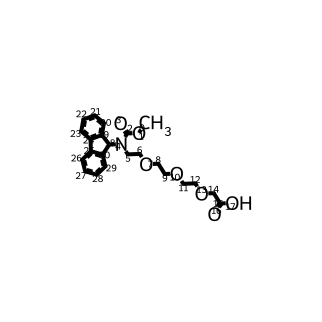 COC(=O)N(CCOCCOCCOCC(=O)O)C1c2ccccc2-c2ccccc21